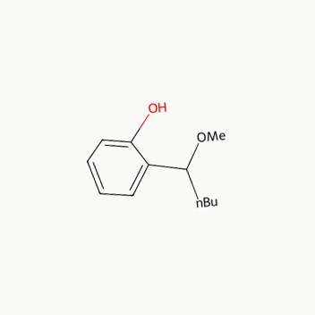 CCCCC(OC)c1ccccc1O